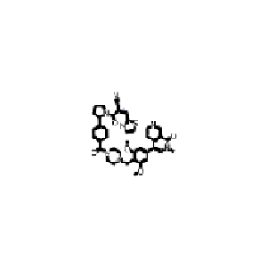 COc1cc(-c2cn(C)c(=O)c3cnccc23)cc(OC)c1CN1CCN(C(=O)c2ccc(C3CCCN3C(=O)/C(C#N)=C\c3nccs3)cc2)CC1